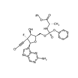 CC(C)OC(=O)[C@H](C)NP(=O)(OC[C@H]1O[C@@H](n2cnc3cnc(N)nc32)[C@@](F)(C#CCl)[C@H]1O)Oc1ccccc1